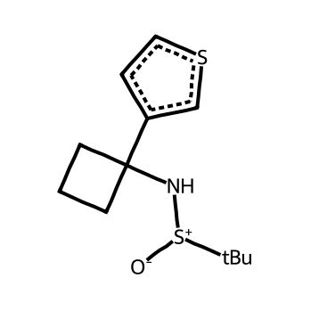 CC(C)(C)[S+]([O-])NC1(c2ccsc2)CCC1